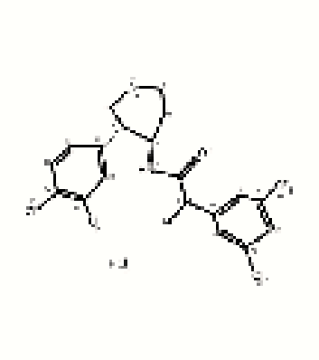 CN(C(=O)N[C@@H]1CCNC[C@H]1c1ccc(Cl)c(Cl)c1)c1cc(C(F)(F)F)cc(C(F)(F)F)c1.Cl